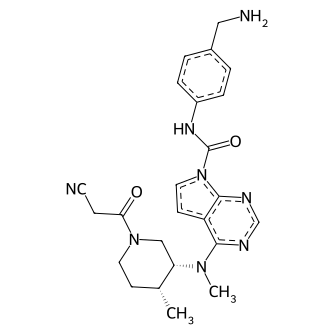 C[C@@H]1CCN(C(=O)CC#N)C[C@@H]1N(C)c1ncnc2c1ccn2C(=O)Nc1ccc(CN)cc1